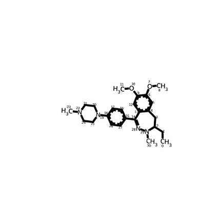 CCC1Cc2cc(OC)c(OC)cc2C(c2ccc(N3CCN(C)CC3)cc2)=NN1C